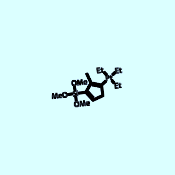 C[CH2][Pt]([CH2]C)([CH2]C)[C]1=C(C)C([Si](OC)(OC)OC)=CC1